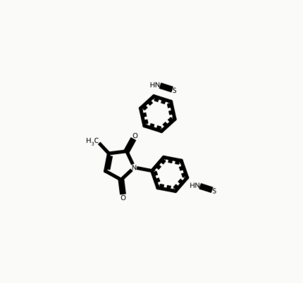 CC1=CC(=O)N(c2ccccc2)C1=O.N=S.N=S.c1ccccc1